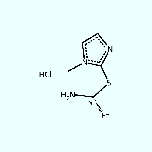 C[CH][C@H](N)Sc1nccn1C.Cl